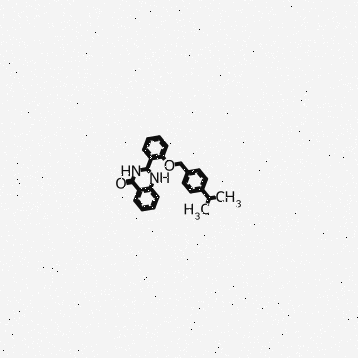 CC(C)c1ccc(COc2ccccc2C2NC(=O)c3ccccc3N2)cc1